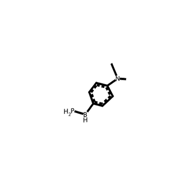 CN(C)c1ccc(BP)cc1